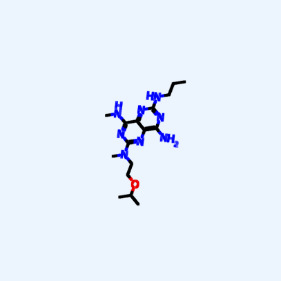 CCCNc1nc(N)c2nc(N(C)CCOC(C)C)nc(NC)c2n1